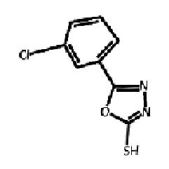 Sc1nnc(-c2cccc(Cl)c2)o1